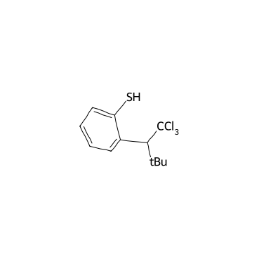 CC(C)(C)C(c1ccccc1S)C(Cl)(Cl)Cl